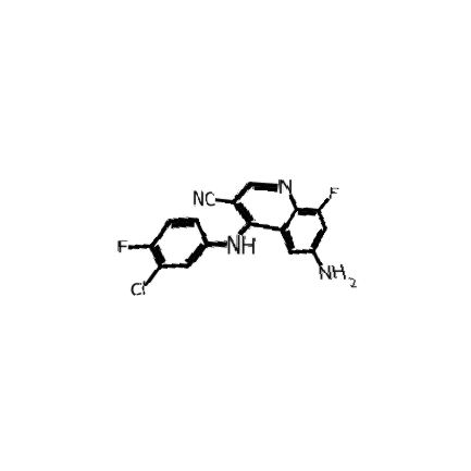 N#Cc1cnc2c(F)cc(N)cc2c1Nc1ccc(F)c(Cl)c1